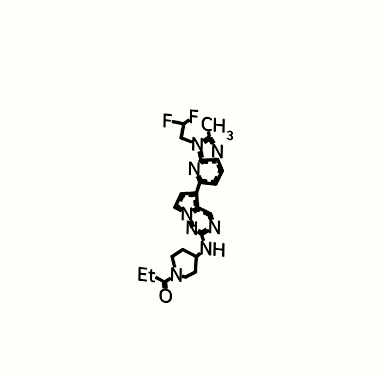 CCC(=O)N1CCC(Nc2ncc3c(-c4ccc5nc(C)n(CC(F)F)c5n4)ccn3n2)CC1